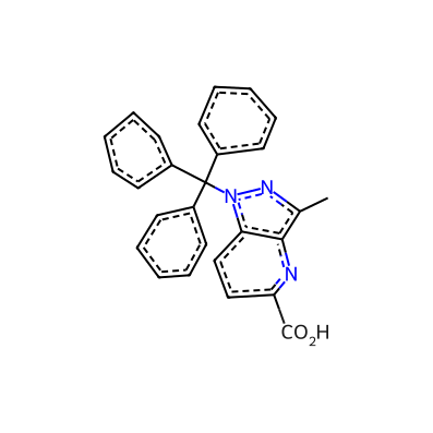 Cc1nn(C(c2ccccc2)(c2ccccc2)c2ccccc2)c2ccc(C(=O)O)nc12